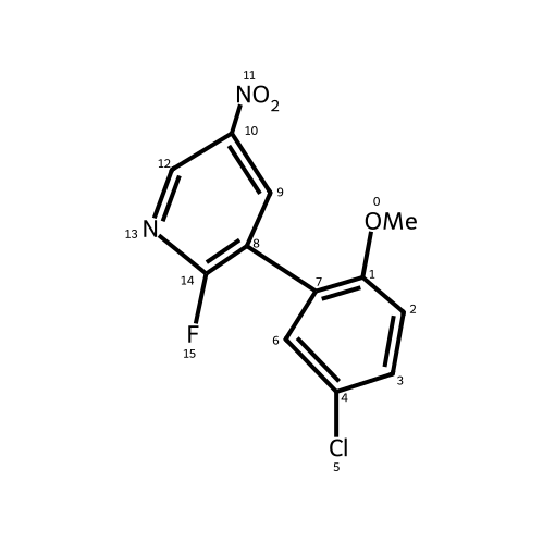 COc1ccc(Cl)cc1-c1cc([N+](=O)[O-])cnc1F